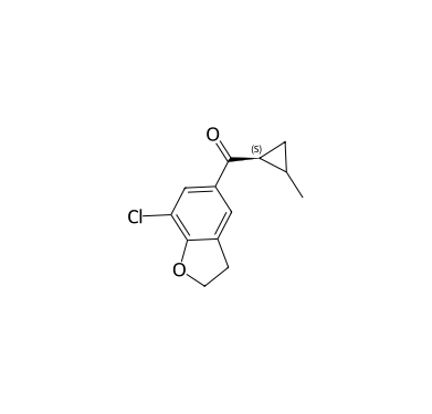 CC1C[C@@H]1C(=O)c1cc(Cl)c2c(c1)CCO2